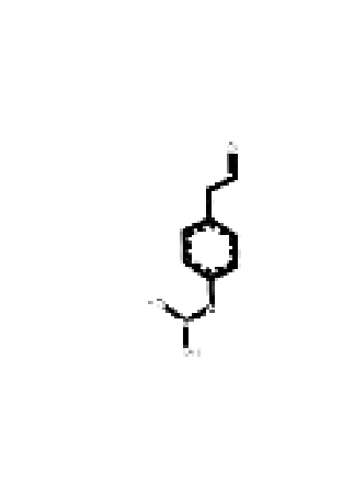 O=CCc1ccc(OB(O)O)cc1